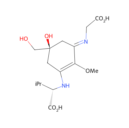 COC1=C(N[C@H](C(=O)O)C(C)C)C[C@](O)(CO)CC1=NCC(=O)O